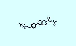 CC(=O)OCC(=O)N1CCc2cc(-c3ccc(CCO[Si](C)(C)C(C)(C)C)cc3)ccc2C1